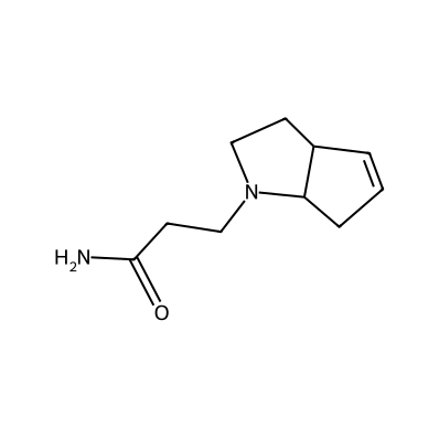 NC(=O)CCN1CCC2C=CCC21